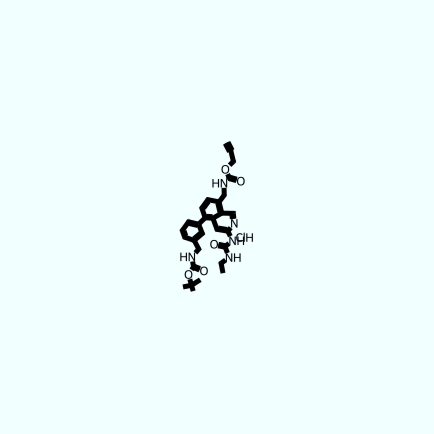 C#CCOC(=O)NCc1ccc(-c2cccc(CNC(=O)OC(C)(C)C)c2)c2cc(NC(=O)NCC)ncc12.Cl